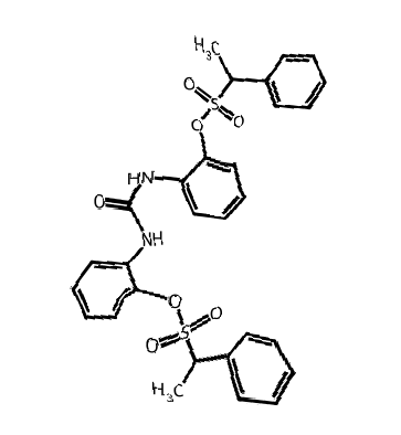 CC(c1ccccc1)S(=O)(=O)Oc1ccccc1NC(=O)Nc1ccccc1OS(=O)(=O)C(C)c1ccccc1